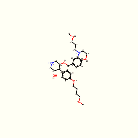 COCCCCOc1ccc(C2C(OCc3ccc4c(c3)N(CCCOC)CCO4)CNC[C@H]2O)cc1